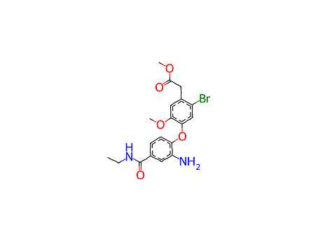 CCNC(=O)c1ccc(Oc2cc(Br)c(CC(=O)OC)cc2OC)c(N)c1